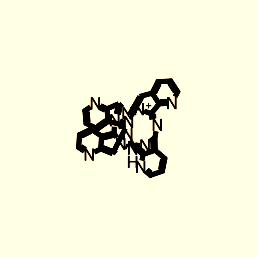 c1cnc2c(c1)-c1nc3c4ncccc4c4nc5[n+]6c(nc7c8ncccc8c(nc-2[n+]16)n7Nn43)-c1cccnc1-5